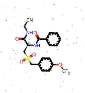 N#CCNC(=O)[C@H](CS(=O)(=O)Cc1ccc(OC(F)(F)F)cc1)NC(=O)c1ccccc1